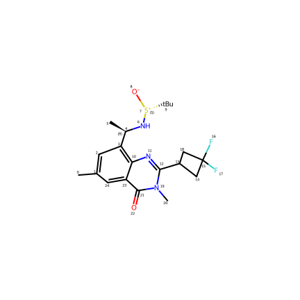 Cc1cc([C@@H](C)N[S@+]([O-])C(C)(C)C)c2nc(C3CC(F)(F)C3)n(C)c(=O)c2c1